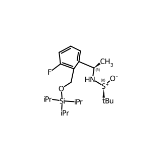 CC(C)[Si](OCc1c(F)cccc1[C@@H](C)N[S@@+]([O-])C(C)(C)C)(C(C)C)C(C)C